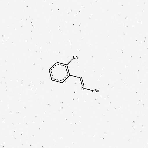 CCCC/N=C/c1ccccc1C#N